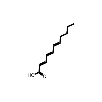 CCCCC=CC=C/C=C/C(=O)O